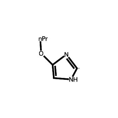 CCCOc1c[nH][c]n1